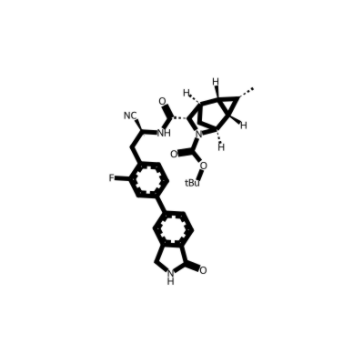 C[C@H]1[C@H]2[C@H]3C[C@@H]([C@@H]12)N(C(=O)OC(C)(C)C)[C@@H]3C(=O)N[C@H](C#N)Cc1ccc(-c2ccc3c(c2)CNC3=O)cc1F